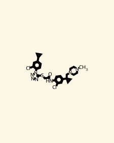 CN1CCN(CC2(c3ccc(NC(=O)CSc4nnnn4-c4ccc(C5CC5)cc4Cl)c(Cl)c3)CC2)CC1